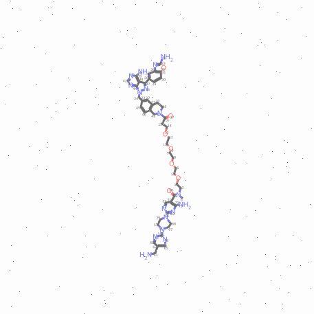 CN(CCOCCOCCOCCOCCC(=O)N1CCc2cc(Cn3nc(-c4ccc5oc(N)nc5c4)c4c(N)ncnc43)ccc2C1)C(=O)c1cnc(N2CCN(c3ncc(CN)cn3)CC2)nc1N